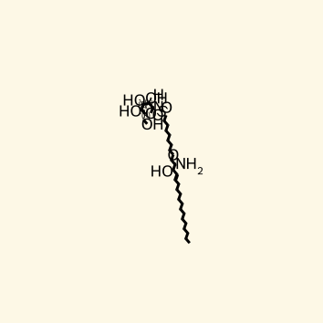 CCCCCCCCCCCCCC=CC(O)C(N)COCCCCCCCCS(=O)(=O)NC1O[C@H](CO)[C@@H](O)[C@H](O)[C@H]1O